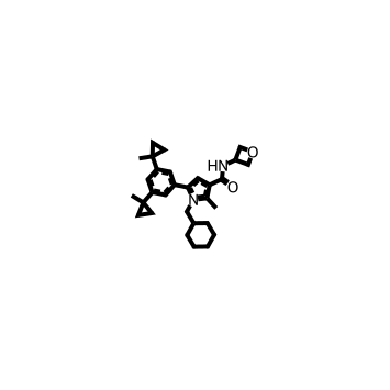 Cc1c(C(=O)NC2COC2)cc(-c2cc(C3(C)CC3)cc(C3(C)CC3)c2)n1CC1CCCCC1